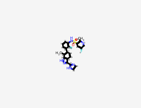 Cc1ncc(F)cc1S(=O)(=O)Nc1cccc(-c2ccc3c(-c4ncc[nH]4)n[nH]c3c2C)c1F